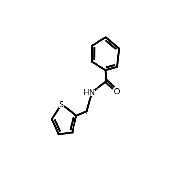 O=C(N[CH]c1cccs1)c1ccccc1